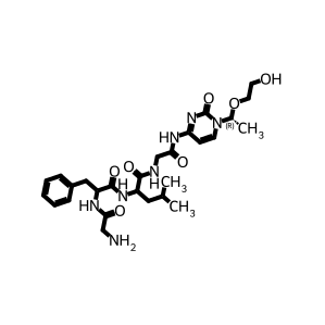 CC(C)CC(NC(=O)C(Cc1ccccc1)NC(=O)CN)C(=O)NCC(=O)Nc1ccn([C@@H](C)OCCO)c(=O)n1